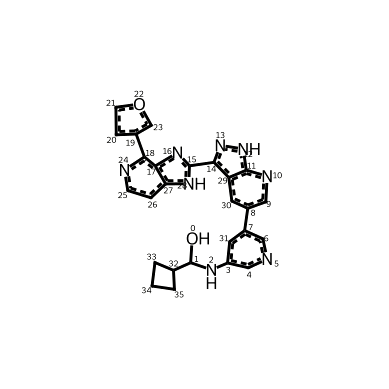 OC(Nc1cncc(-c2cnc3[nH]nc(-c4nc5c(-c6ccoc6)nccc5[nH]4)c3c2)c1)C1CCC1